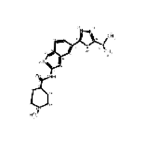 CN1CCC(C(=O)Nc2cc3cc(-c4nnc(N(C)C)s4)ccc3cn2)CC1